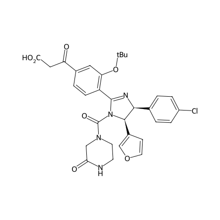 CC(C)(C)Oc1cc(C(=O)CC(=O)O)ccc1C1=N[C@@H](c2ccc(Cl)cc2)[C@@H](c2ccoc2)N1C(=O)N1CCNC(=O)C1